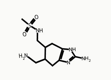 CS(=O)(=O)NCC1Cc2[nH]c(N)nc2CC1CN